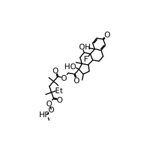 CCC(C)(CC(C)(C)C(=O)OCC(=O)C1(O)C(C)CC2C3CCC4=CC(=O)C=CC4(C)C3(F)C(O)CC21C)C(=O)OOPC